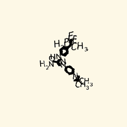 CC(c1ccc(Nc2nn(C3CCC(N4CC(C)(C)C4)CC3)cc2C(N)=O)cc1)C(F)(F)P